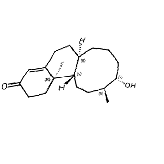 C[C@H]1CC[C@H]2[C@H](CCC[C@@H]1O)CCC1=CC(=O)CC[C@@]12C